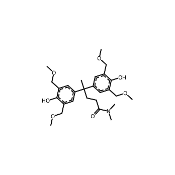 COCc1cc(C(C)(CCC(=O)N(C)C)c2cc(COC)c(O)c(COC)c2)cc(COC)c1O